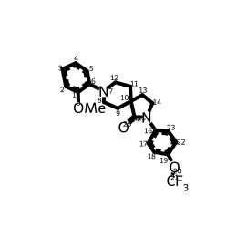 COc1ccccc1N1CCC2(CC1)CCN(c1ccc(OC(F)(F)F)cc1)C2=O